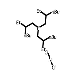 CCCCC(CC)CP(CC(CC)CCCC)CC(CC)CCCC.[Cl][Ni][Cl]